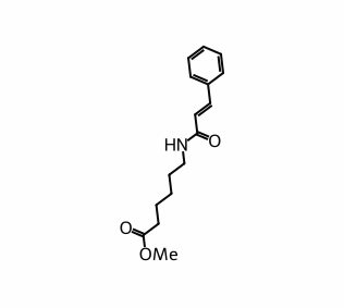 COC(=O)CCCCCNC(=O)/C=C/c1ccccc1